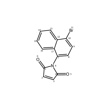 O=C1C=CC(=O)N1c1ccc(Br)c2ccccc12